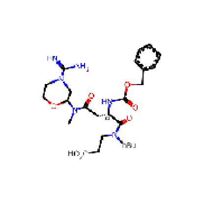 CCCCN(CCC(=O)O)C(=O)[C@H](CC(=O)N(C)C1CN(C(=N)N)CCO1)NC(=O)OCc1ccccc1